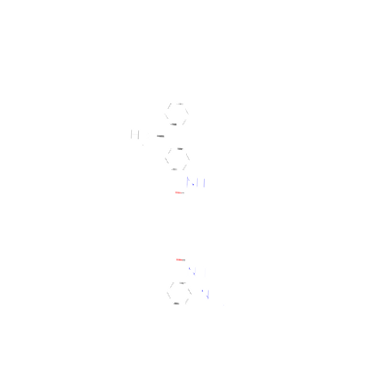 C=C(c1ccccc1)c1ccc(NC(=O)CCCCCC(=O)Nc2ccccc2N)cc1